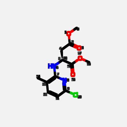 COC(=O)C[C@@H](Nc1nc(Cl)ccc1C)C(=O)OC